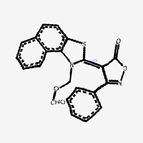 O=COCN1/C(=C2/C(=O)ON=C2c2ccccc2)Sc2ccc3ccccc3c21